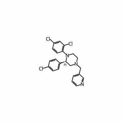 Clc1ccc([C@@H]2CN(Cc3cccnc3)CCN2c2ccc(Cl)cc2Cl)cc1